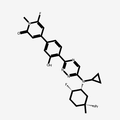 CCC[C@]1(C)CC[C@H](F)[C@H](N(c2cnc(-c3ccc(-c4cc(F)n(C)c(=O)c4)cc3O)nn2)C2CC2)C1